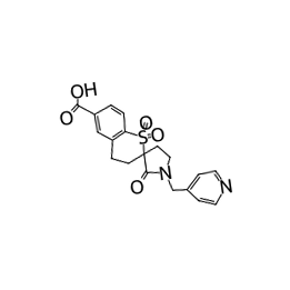 O=C(O)c1ccc2c(c1)CCC1(CCN(Cc3ccncc3)C1=O)S2(=O)=O